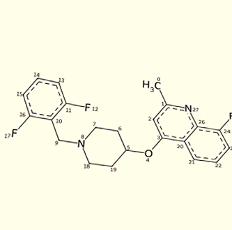 Cc1cc(OC2CCN(Cc3c(F)cccc3F)CC2)c2cccc(F)c2n1